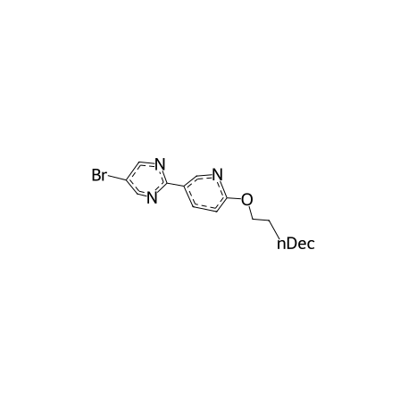 CCCCCCCCCCCCOc1ccc(-c2ncc(Br)cn2)cn1